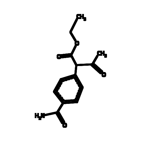 CCOC(=O)C(C(C)=O)c1ccc(C(N)=O)cc1